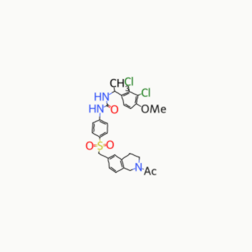 COc1ccc(C(C)NC(=O)Nc2ccc(S(=O)(=O)Cc3ccc4c(c3)CCN(C(C)=O)C4)cc2)c(Cl)c1Cl